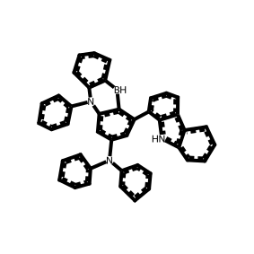 B1c2ccccc2N(c2ccccc2)c2cc(N(c3ccccc3)c3ccccc3)cc(-c3cccc4c3[nH]c3ccccc34)c21